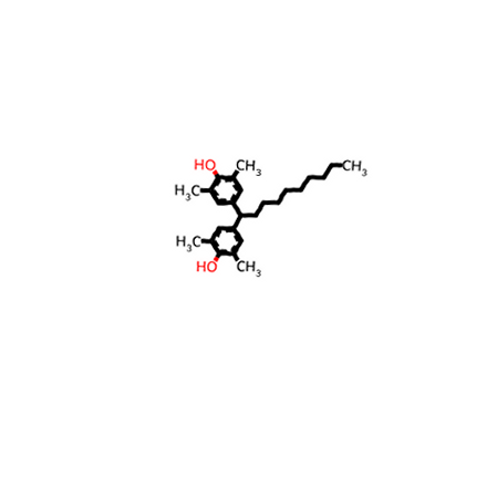 CCCCCCCCCC(c1cc(C)c(O)c(C)c1)c1cc(C)c(O)c(C)c1